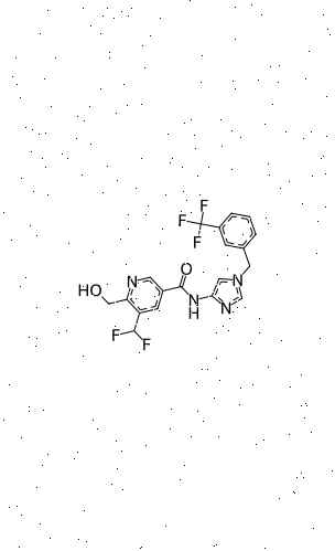 O=C(Nc1cn(Cc2cccc(C(F)(F)F)c2)cn1)c1cnc(CO)c(C(F)F)c1